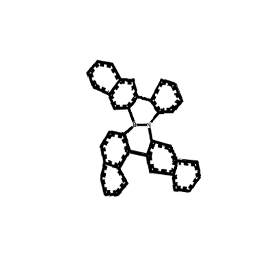 c1ccc2c(c1)-c1cc3ccccc3cc1B1c3ccc4ccccc4c3-c3cc4ccccc4cc3N12